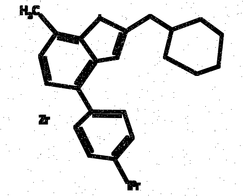 Cc1ccc(-c2ccc(C(C)C)cc2)c2c1[CH]C(CC1CCCCC1)=C2.[Zr]